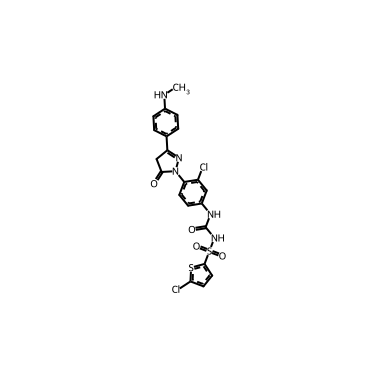 CNc1ccc(C2=NN(c3ccc(NC(=O)NS(=O)(=O)c4ccc(Cl)s4)cc3Cl)C(=O)C2)cc1